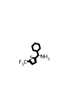 N[C@H](c1ccc(C(F)(F)F)s1)C1CCCCC1